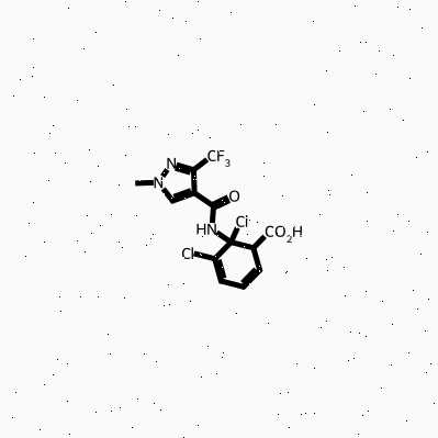 Cn1cc(C(=O)NC2(Cl)C(Cl)=CC=CC2C(=O)O)c(C(F)(F)F)n1